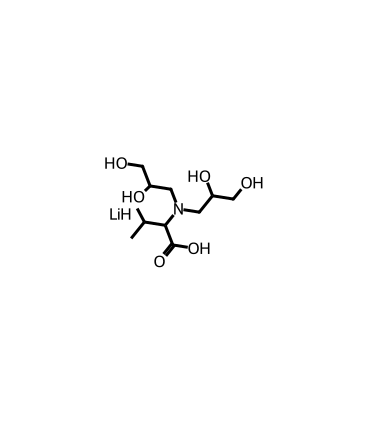 CC(C)C(C(=O)O)N(CC(O)CO)CC(O)CO.[LiH]